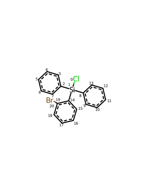 Cl[Si](c1ccccc1)(c1ccccc1)c1ccccc1Br